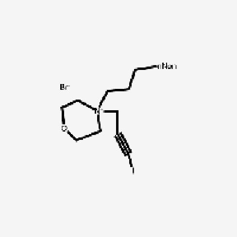 CCCCCCCCCCCC[N+]1(CC#CI)CCOCC1.[Br-]